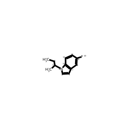 C[CH]C(C)n1ccc2cc(F)ccc21